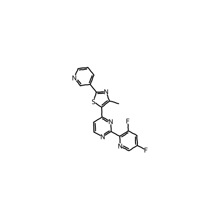 Cc1nc(-c2cccnc2)sc1-c1ccnc(-c2ncc(F)cc2F)n1